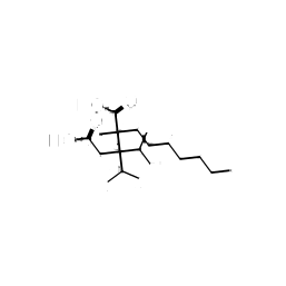 CCCCCCCC(C)(C(=O)O)C(CC(=O)O)(C(C)C)C(C)C